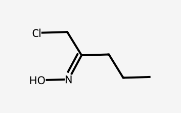 CCCC(CCl)=NO